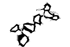 CC1CC=CC2=C1N(c1ccc(-c3ccc(N(c4ccccc4)c4ccccc4)cc3)cc1)C1C=CC=CC21C